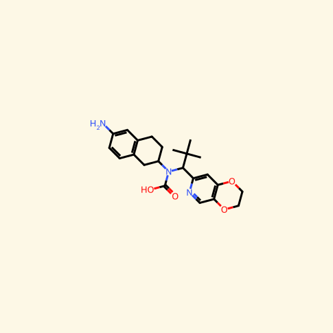 CC(C)(C)C(c1cc2c(cn1)OCCO2)N(C(=O)O)C1CCc2cc(N)ccc2C1